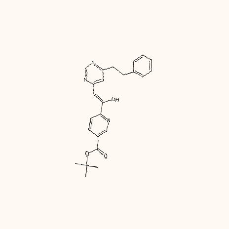 CC(C)(C)OC(=O)c1ccc(/C(O)=C/c2cc(CCc3ccccc3)ncn2)nc1